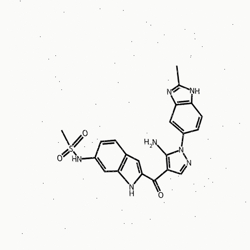 Cc1nc2cc(-n3ncc(C(=O)c4cc5ccc(NS(C)(=O)=O)cc5[nH]4)c3N)ccc2[nH]1